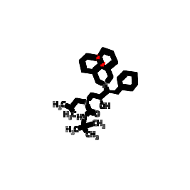 CC(C)CN(C[C@@H](O)[C@H](Cc1ccccc1)N(Cc1ccccc1)Cc1ccccc1)C(=O)NC(C)(C)C